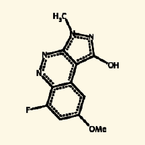 COc1cc(F)c2nnc3c(c(O)nn3C)c2c1